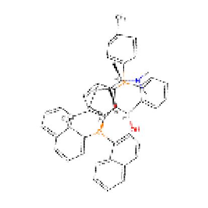 C[C@H](C1CC[C@H](P(c2cccc3ccccc23)c2cccc3ccccc23)[C@@H]1[C@@H](O)c1ccccc1P(c1ccc(C(F)(F)F)cc1)c1ccc(C(F)(F)F)cc1)N(C)C